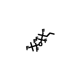 CCCC(C)(F)C(F)(F)OC(F)(F)C(C)(C)F